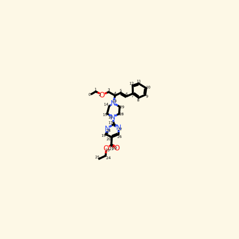 CCOCC(/C=C/c1ccccc1)N1CCN(c2ncc(C(=O)OCC)cn2)CC1